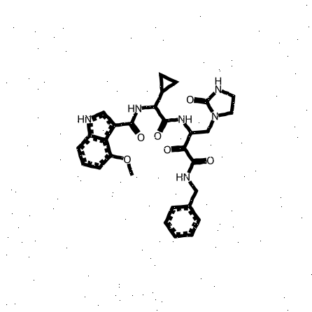 COc1cccc2[nH]cc(C(=O)NC(C(=O)NC(CN3CCNC3=O)C(=O)C(=O)NCc3ccccc3)C3CC3)c12